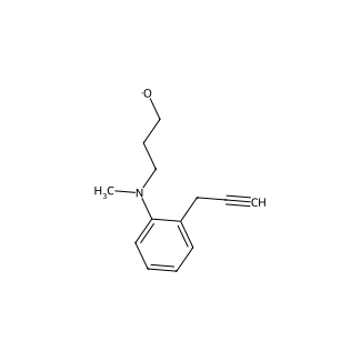 C#CCc1ccccc1N(C)CCC[O]